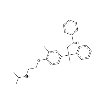 Cc1cc(C(C)(CC(=O)c2ccccc2)c2ccccc2)ccc1OCCNC(C)C